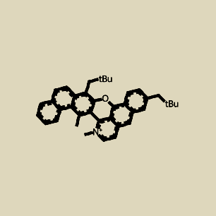 Cc1c2c(c(CC(C)(C)C)c3ccc4ccccc4c13)Oc1c3ccc(CC(C)(C)C)cc3cc3cc[n+](C)c-2c13